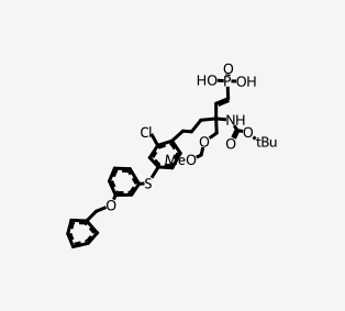 COCOCC(C=CP(=O)(O)O)(CCCc1ccc(Sc2cccc(OCc3ccccc3)c2)cc1Cl)NC(=O)OC(C)(C)C